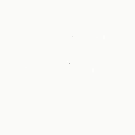 CC(C)(C)[S+]([O-])/N=C/[C@@H]1CCCCO1